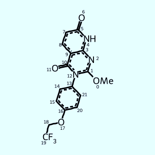 COc1nc2[nH]c(=O)ccc2c(=O)n1-c1ccc(OCC(F)(F)F)cc1